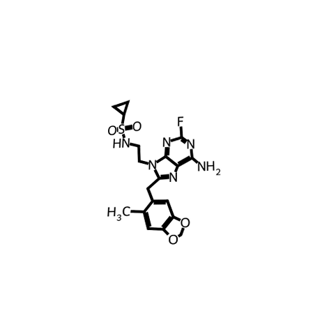 Cc1cc2c(cc1Cc1nc3c(N)nc(F)nc3n1CCNS(=O)(=O)C1CC1)OCO2